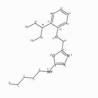 CCCCCNc1nnc(COc2ccccc2C(CC)CC)o1